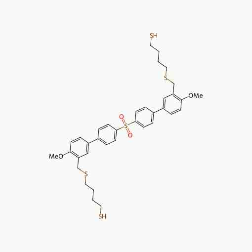 COc1ccc(-c2ccc(S(=O)(=O)c3ccc(-c4ccc(OC)c(CSCCCCS)c4)cc3)cc2)cc1CSCCCCS